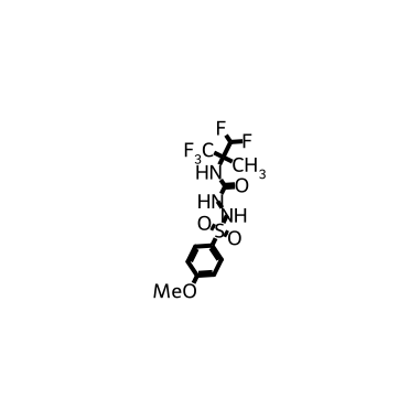 COc1ccc(S(=O)(=O)NNC(=O)NC(C)(C(F)F)C(F)(F)F)cc1